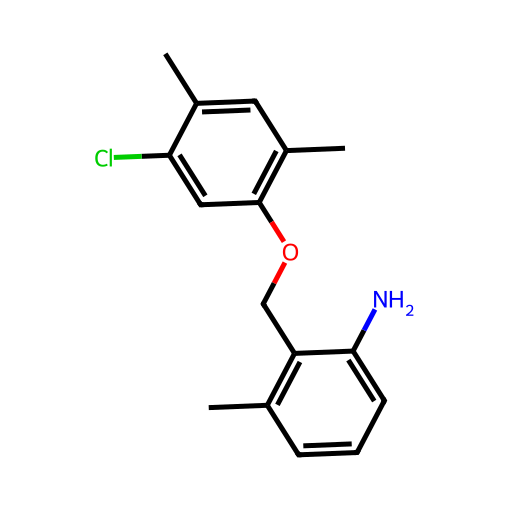 Cc1cc(C)c(OCc2c(C)cccc2N)cc1Cl